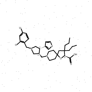 CCCC1(CCC)CC2(CCN(C[C@H]3CN(Cc4ccc(Cl)cc4Cl)C[C@@H]3c3ccsc3)CC2)O[C@@H]1C(=O)O